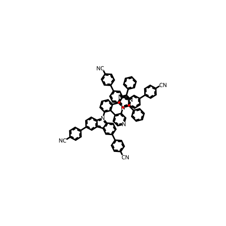 N#Cc1ccc(-c2ccc3c(c2)c2cc(-c4ccc(C#N)cc4)ccc2n3-c2cnccc2-c2c(-c3nc(-c4ccccc4)nc(-c4ccccc4)n3)cccc2-n2c3ccc(-c4ccc(C#N)cc4)cc3c3cc(-c4ccc(C#N)cc4)ccc32)cc1